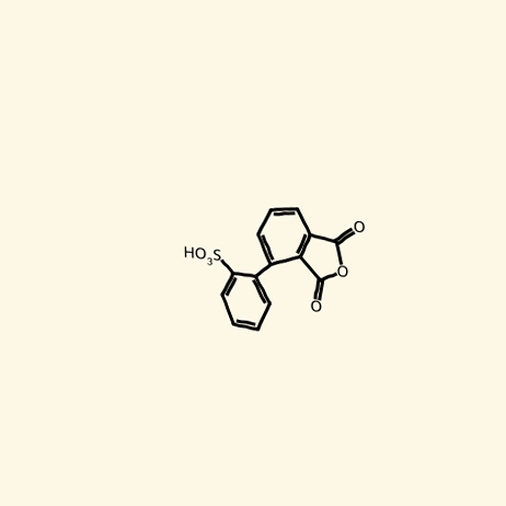 O=C1OC(=O)c2c1cccc2-c1ccccc1S(=O)(=O)O